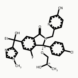 CCC(O)(c1cc(F)c2c(c1)C(=O)N(Cc1ccc(C#N)cn1)[C@@]2(OC[C@@H](C)O)c1ccc(Cl)cc1)c1cn(C)cn1